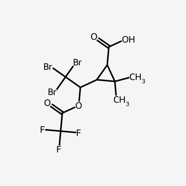 CC1(C)C(C(=O)O)C1C(OC(=O)C(F)(F)F)C(Br)(Br)Br